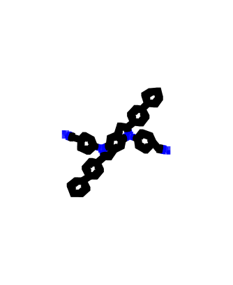 N#Cc1ccc(-n2c(-c3ccc(-c4ccccc4)cc3)cc3cc4c(cc(-c5ccc(-c6ccccc6)cc5)n4-c4ccc(C#N)cc4)cc32)cc1